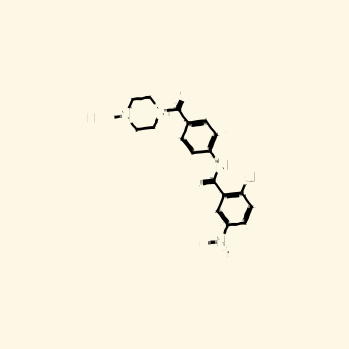 CN1CCN(C(=O)c2ccc(NC(=O)c3cc([N+](=O)[O-])ccc3Cl)cc2)CC1